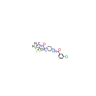 CN(C(=O)CN1CCC(CNC(=O)c2cccc(Cl)c2)CC1)C(C)(C)C(F)(F)F